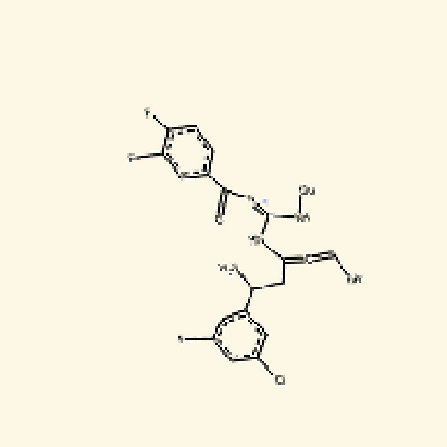 CCCC=C=C(CC(N)c1cc(F)cc(Cl)c1)N/C(=N\C(=O)c1ccc(F)c(F)c1)NC(C)(C)C